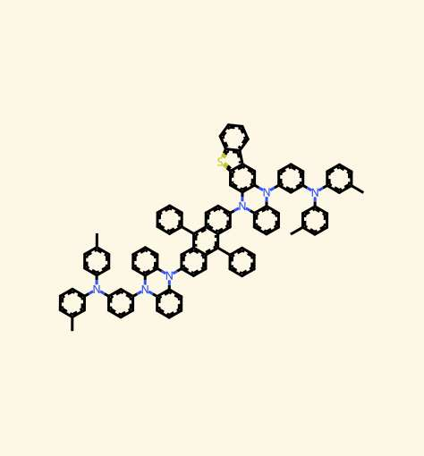 Cc1ccc(N(c2cccc(C)c2)c2cccc(N3c4ccccc4N(c4ccc5c(-c6ccccc6)c6cc(N7c8ccccc8N(c8cccc(N(c9cccc(C)c9)c9cccc(C)c9)c8)c8cc9c(cc87)sc7ccccc79)ccc6c(-c6ccccc6)c5c4)c4ccccc43)c2)cc1